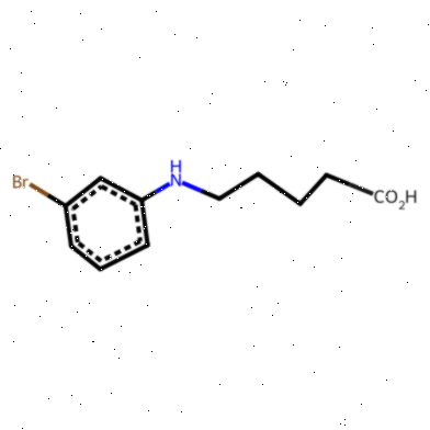 O=C(O)CCCCNc1cccc(Br)c1